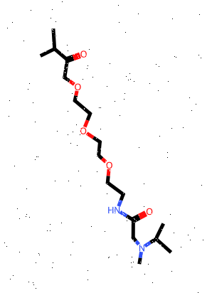 CC(C)C(=O)COCCOCCOCCNC(=O)CN(C)C(C)C